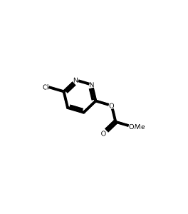 COC(=O)Oc1ccc(Cl)nn1